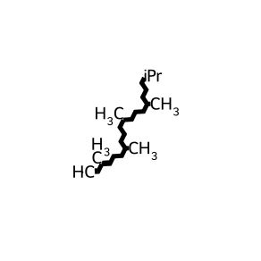 [CH]=C/C(C)=C/CCC(C)CCCC(C)CCCC(C)CCCC(C)C